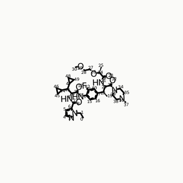 CCn1nccc1C(=O)N[C@H](C(=O)Nc1ccc([C@H](C)[C@@H](NC(=O)[C@H](C)OCCOC)C(=O)N2CCN(C)CC2)cc1F)C(C1CC1)C1CC1